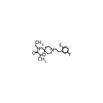 CCN1CC2(CCN(CCc3cc(F)ccc3F)CC2)OC(C)C1=O